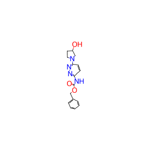 O=C(Nc1ccc(N2CCC(O)C2)nn1)OCc1ccccc1